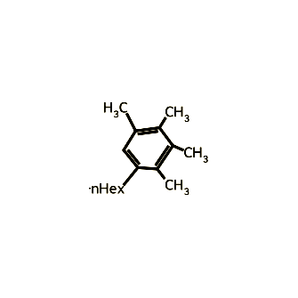 CCCCC[CH]c1cc(C)c(C)c(C)c1C